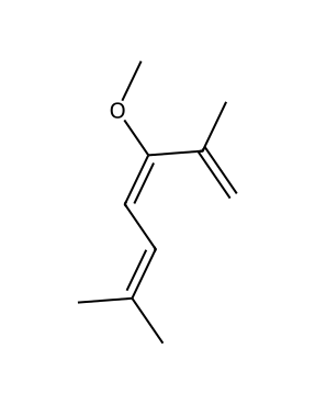 C=C(C)/C(=C\C=C(C)C)OC